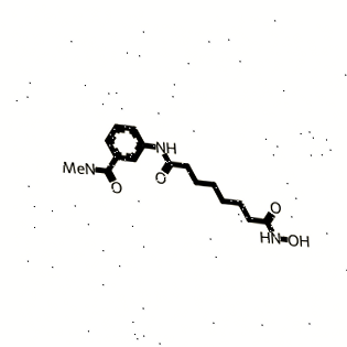 CNC(=O)c1cccc(NC(=O)CCCCCCC(=O)NO)c1